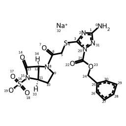 Nc1nc(SCC(=O)N2CC[C@@H]3[C@H]2C(=O)N3S(=O)(=O)[O-])n(C(=O)OCc2ccccc2)n1.[Na+]